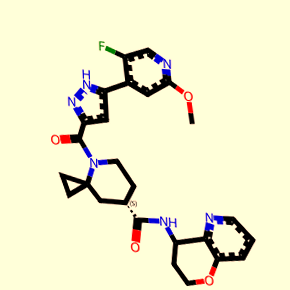 COc1cc(-c2cc(C(=O)N3CC[C@H](C(=O)NC4CCOc5cccnc54)CC34CC4)n[nH]2)c(F)cn1